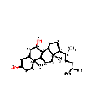 CCC(CC[C@@H](C)C1CCC2C3C(O)CC4CC(O)CCC4(C)C3CCC21C)C(C)C